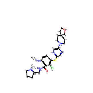 CNc1ccc(Sc2cnc(N3CCC4(CCOC4)CC3)cn2)c(Cl)c1C(=O)NCC1CCCN1C